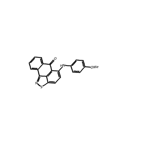 COc1ccc(Nc2ccc3snc4c3c2C(=O)c2ccccc2-4)cc1